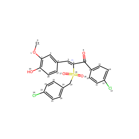 CCOc1cc(/C=C(/C(=O)c2ccc(Cl)cc2)S(=O)(=O)Cc2ccc(Cl)cc2)ccc1O